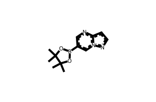 CC1(C)OB(c2cnc3ccnn3c2)OC1(C)C